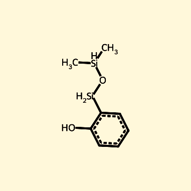 C[SiH](C)O[SiH2]c1ccccc1O